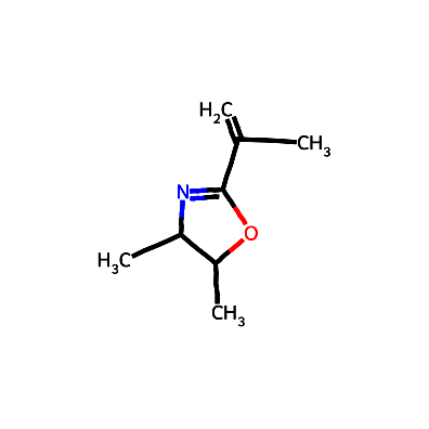 C=C(C)C1=NC(C)C(C)O1